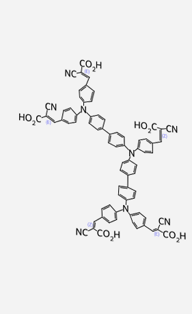 N#C/C(=C/c1ccc(N(c2ccc(/C=C(\C#N)C(=O)O)cc2)c2ccc(-c3ccc(N(c4ccc(/C=C(/C#N)C(=O)O)cc4)c4ccc(-c5ccc(N(c6ccc(/C=C(\C#N)C(=O)O)cc6)c6ccc(/C=C(\C#N)C(=O)O)cc6)cc5)cc4)cc3)cc2)cc1)C(=O)O